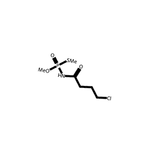 COP(=O)(NC(=O)CCCCl)SC